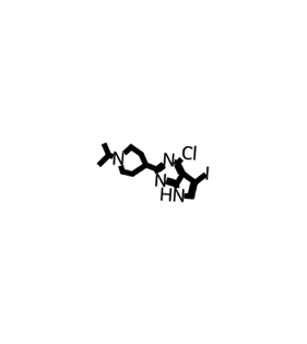 CC(C)N1CCC(c2nc(Cl)c3c(I)c[nH]c3n2)CC1